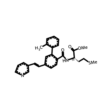 COC(=O)[C@H](CCSC)NC(=O)c1ccc(C=Cc2cccnc2)cc1-c1ccccc1C